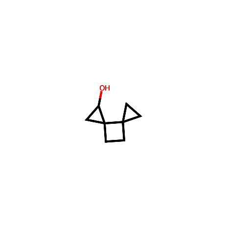 OC1CC12CCC21CC1